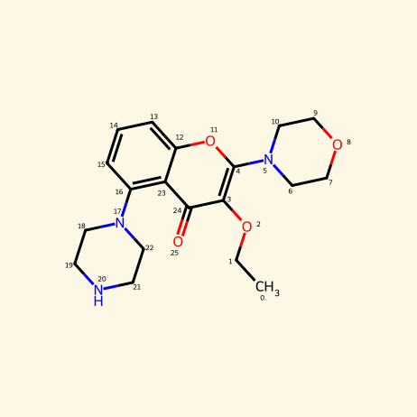 CCOc1c(N2CCOCC2)oc2cccc(N3CCNCC3)c2c1=O